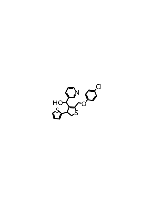 OC(C1=C(COc2ccc(Cl)cc2)SCC1c1cccs1)c1cccnc1